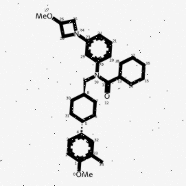 COc1ccc([C@H]2CC[C@H](CN(C(=O)C3CCCCC3)c3cccc(N4CC(OC)C4)c3)CC2)cc1C